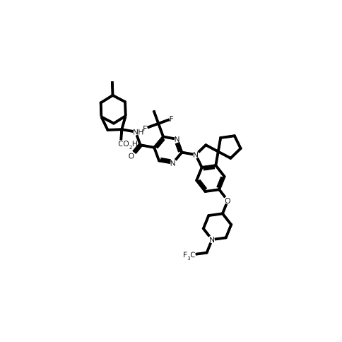 CC1CC2CC(C1)C(NC(=O)c1cnc(N3CC4(CCCC4)c4cc(OC5CCN(CC(F)(F)F)CC5)ccc43)nc1C(C)(F)F)(C(=O)O)C2